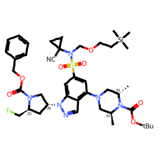 C[C@H]1CN(c2cc(S(=O)(=O)N(COCC[Si](C)(C)C)C3(C#N)CC3)cc3c2cnn3[C@@H]2C[C@@H](CF)N(C(=O)OCc3ccccc3)C2)C[C@H](C)N1C(=O)OC(C)(C)C